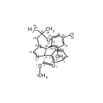 COC(=O)[C@]1(c2ccccc2)N=CN(CC(C)(C)C)[C@H]1c1ccc(Cl)cc1O